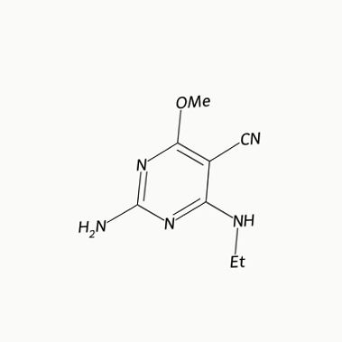 CCNc1nc(N)nc(OC)c1C#N